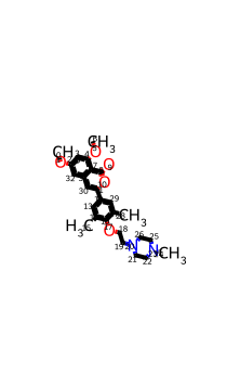 COc1cc(OC)c2c(=O)oc(-c3cc(C)c(OCCN4CCN(C)CC4)c(C)c3)cc2c1